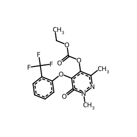 CCOC(=O)Oc1c(C)nn(C)c(=O)c1Oc1ccccc1C(F)(F)F